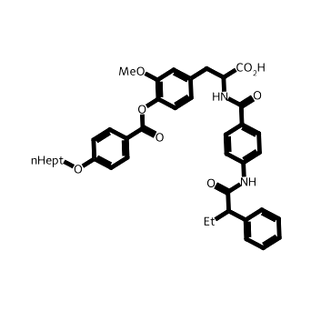 CCCCCCCOc1ccc(C(=O)Oc2ccc(CC(NC(=O)c3ccc(NC(=O)C(CC)c4ccccc4)cc3)C(=O)O)cc2OC)cc1